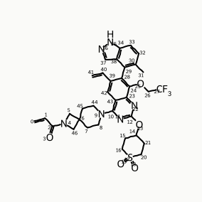 C=CC(=O)N1CC2(CCN(c3nc(OC4CCS(=O)(=O)CC4)nc4c(OCC(F)(F)F)c(-c5c(C)ccc6[nH]ncc56)c(C=C)cc34)CC2)C1